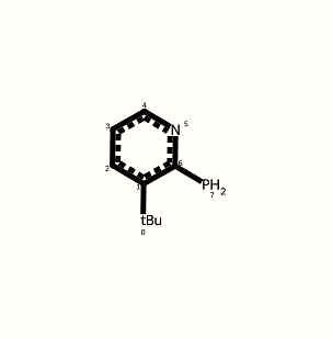 CC(C)(C)c1cccnc1P